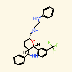 FC(F)(F)c1ccc2c(c1)[C@H]1O[C@@H](CNCCNc3ccccc3)CC[C@H]1[C@H](c1ccccc1)N2